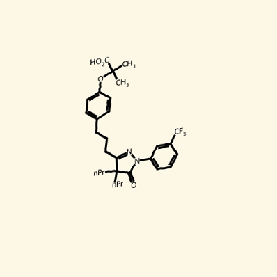 CCCC1(CCC)C(=O)N(c2cccc(C(F)(F)F)c2)N=C1CCCc1ccc(OC(C)(C)C(=O)O)cc1